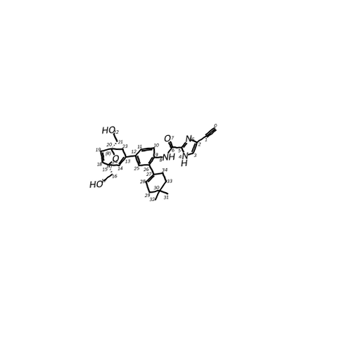 C#Cc1c[nH]c(C(=O)Nc2ccc(C3=C[C@@]4(CO)C=C[C@@](CO)(C3)O4)cc2C2=CCC(C)(C)CC2)n1